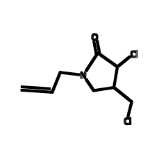 C=CCN1CC(CCl)C(Cl)C1=O